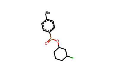 CC(C)(C)c1ccc(S(=O)OC2CCCC(F)C2)cc1